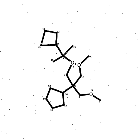 COCC(COC)(COC(C)(C)C1CCC1)C1CCCC1